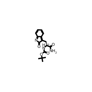 CC(C)(C)OC(=O)N[C@@H](CC1=c2ccccc2=NC1=O)C(N)=O